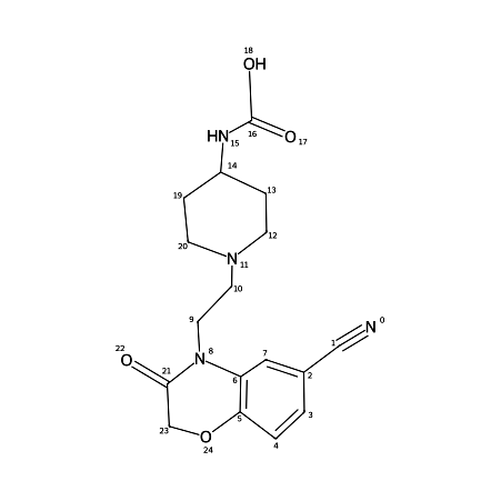 N#Cc1ccc2c(c1)N(CCN1CCC(NC(=O)O)CC1)C(=O)CO2